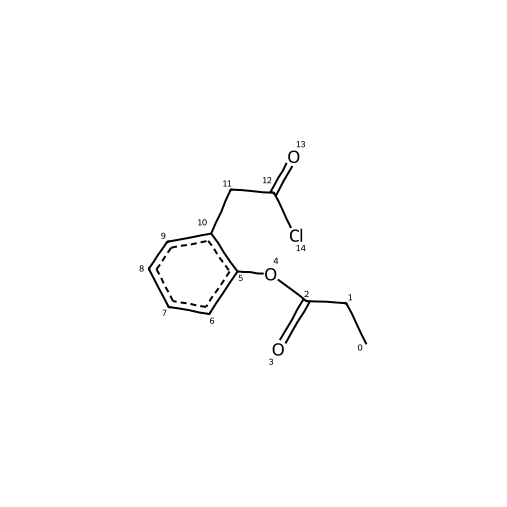 CCC(=O)Oc1ccccc1CC(=O)Cl